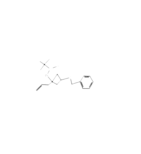 C=CCC1(N[S+]([O-])C(C)(C)C)CC(OCc2ccccc2)C1